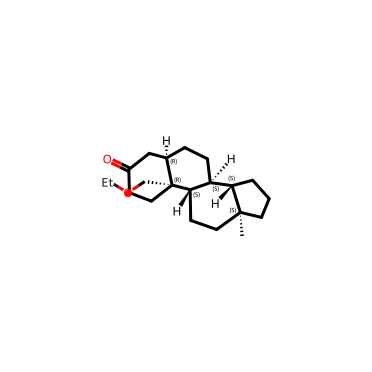 CCOC[C@]12CCC(=O)C[C@H]1CC[C@H]1[C@@H]3CCC[C@@]3(C)CC[C@@H]12